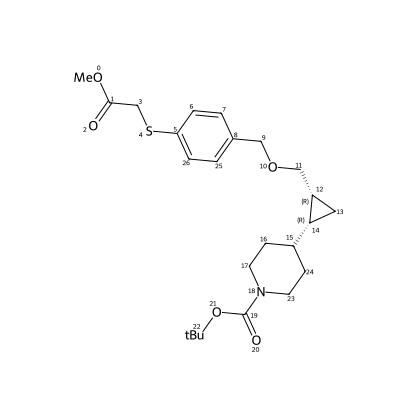 COC(=O)CSc1ccc(COC[C@@H]2C[C@@H]2C2CCN(C(=O)OC(C)(C)C)CC2)cc1